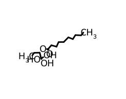 CCCCCCCCCC(=O)OC(CC)C(O)(O)O